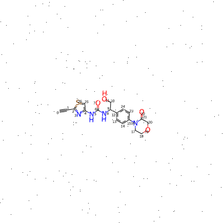 C#Cc1nc(NC(=O)NC(CO)c2ccc(N3CCOCC3=O)cc2)cs1